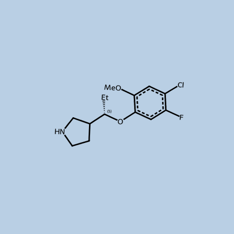 CC[C@H](Oc1cc(F)c(Cl)cc1OC)C1CCNC1